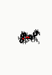 Cc1cc(Nc2ncnn3ccc(CN4[C@@H]5CC[C@H]4C[C@H](NC(=O)OC(C)(C)C)C5)c23)ccc1Oc1ccn2ncnc2c1